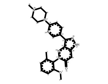 COc1cccc(C)c1-n1nc2c(-c3ccc(N4CCN(C)CC4)nc3)n[nH]c2cc1=O